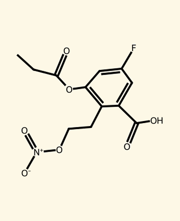 CCC(=O)Oc1cc(F)cc(C(=O)O)c1CCO[N+](=O)[O-]